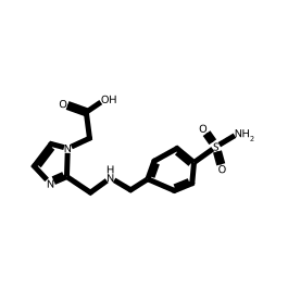 NS(=O)(=O)c1ccc(CNCc2nccn2CC(=O)O)cc1